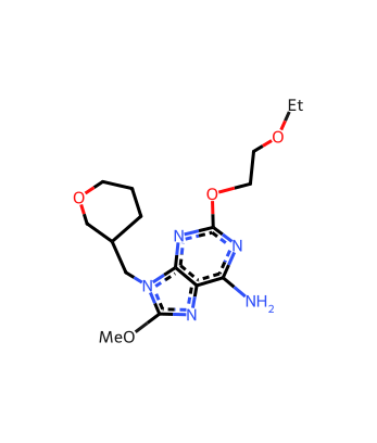 CCOCCOc1nc(N)c2nc(OC)n(CC3CCCOC3)c2n1